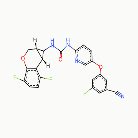 N#Cc1cc(F)cc(Oc2ccc(NC(=O)NC3[C@H]4COc5c(F)ccc(F)c5[C@@H]34)nc2)c1